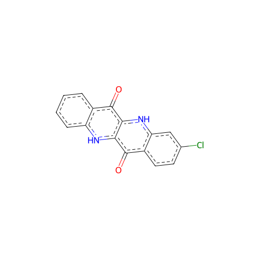 O=c1c2ccccc2[nH]c2c(=O)c3ccc(Cl)cc3[nH]c12